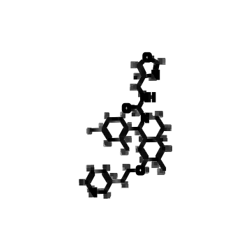 Cc1ccc(C2c3cc(OCCc4cccnc4)c(C)cc3CCN2C(=O)NCc2cocn2)c(C)c1